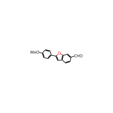 COc1ccc(-c2cc3ccc(C=O)cc3o2)cc1